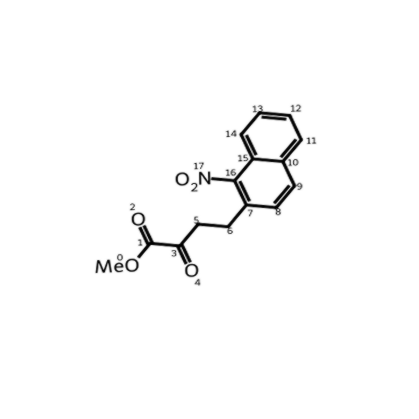 COC(=O)C(=O)CCc1ccc2ccccc2c1[N+](=O)[O-]